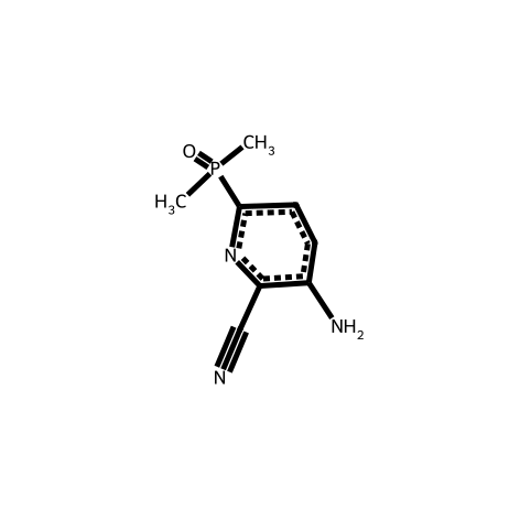 CP(C)(=O)c1ccc(N)c(C#N)n1